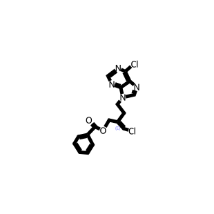 O=C(OC/C(=C/Cl)CCn1cnc2c(Cl)ncnc21)c1ccccc1